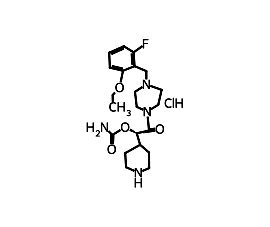 CCOc1cccc(F)c1CN1CCN(C(=O)[C@H](OC(N)=O)C2CCNCC2)CC1.Cl